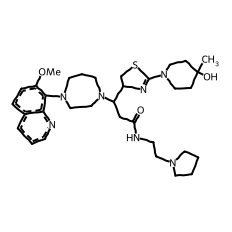 COc1ccc2cccnc2c1N1CCCN(C(CC(=O)NCCN2CCCC2)C2CSC(N3CCC(C)(O)CC3)=N2)CC1